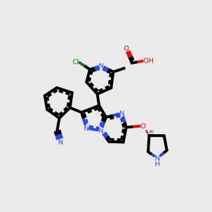 Cc1cc(-c2c(-c3ccccc3C#N)nn3ccc(O[C@@H]4CCNC4)nc23)cc(Cl)n1.O=CO